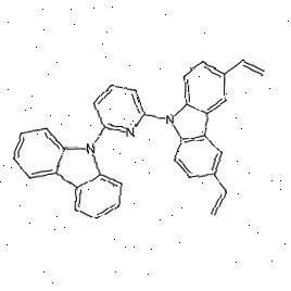 C=Cc1ccc2c(c1)c1cc(C=C)ccc1n2-c1cccc(-n2c3ccccc3c3ccccc32)n1